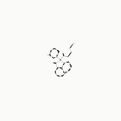 C=C(/C=C\C=C/C)C1(c2cccc(C)c2)C(=O)c2cccc3cccc1c23